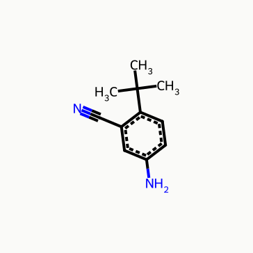 CC(C)(C)c1ccc(N)cc1C#N